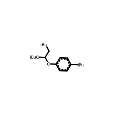 CCC(C)c1ccc(OC(CC(C)(C)C)OCC(C)C)cc1